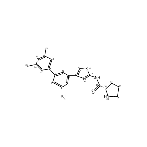 Cc1cc(-c2cccc(-c3csc(NC(=O)[C@@H]4CCCN4)n3)c2)cc(C)n1.Cl